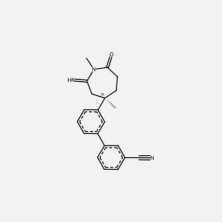 CN1C(=N)C[C@](C)(c2cccc(-c3cccc(C#N)c3)c2)CCC1=O